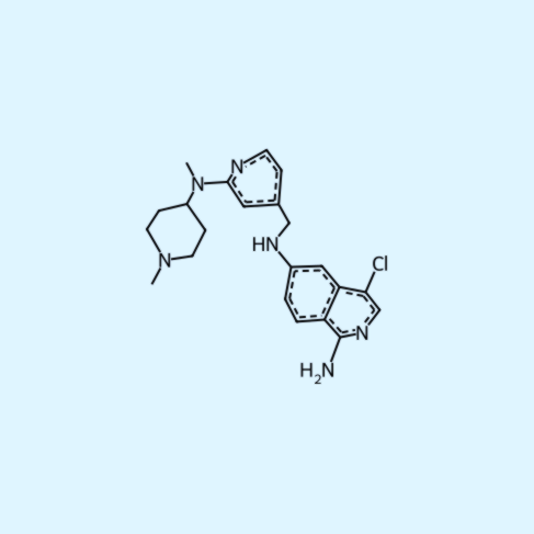 CN1CCC(N(C)c2cc(CNc3ccc4c(N)ncc(Cl)c4c3)ccn2)CC1